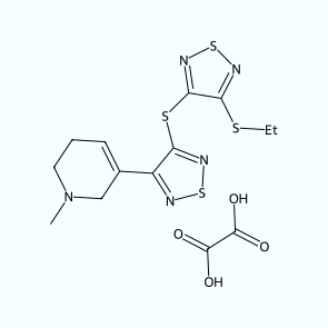 CCSc1nsnc1Sc1nsnc1C1=CCCN(C)C1.O=C(O)C(=O)O